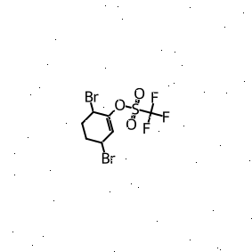 O=S(=O)(OC1=CC(Br)CCC1Br)C(F)(F)F